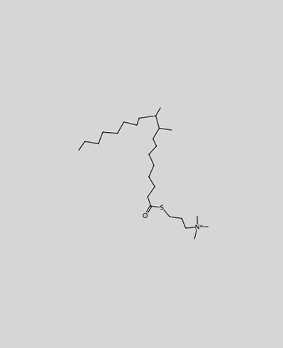 CCCCCCCCC(C)C(C)CCCCCCCC(=O)SCCC[N+](C)(C)C